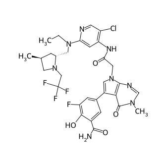 CCN(C[C@H]1C[C@H](C)CN1CC(F)(F)F)c1cc(NC(=O)Cn2cc(-c3cc(F)c(O)c(C(N)=O)c3)c3c(=O)n(C)cnc32)c(Cl)cn1